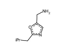 CC(C)Cc1ncc(CN)o1